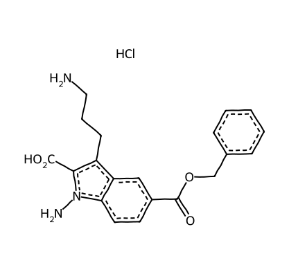 Cl.NCCCc1c(C(=O)O)n(N)c2ccc(C(=O)OCc3ccccc3)cc12